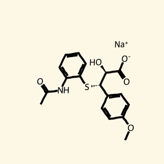 COc1ccc([C@H](Sc2ccccc2NC(C)=O)[C@@H](O)C(=O)[O-])cc1.[Na+]